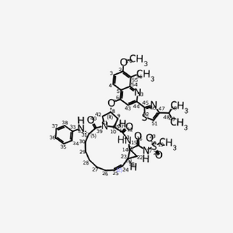 COc1ccc2c(O[C@@H]3C[C@H]4C(=O)N[C@]5(C(=O)NS(C)(=O)=O)C[C@H]5/C=C\CCCCC[C@H](Nc5ccccc5)C(=O)N4C3)cc(-c3nc(C(C)C)cs3)nc2c1C